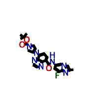 Cc1cn2cc(NC(=O)c3ccc(N4C5CN(C(=O)OC(C)(C)C)CC54)c4nccnc34)cc(F)c2n1